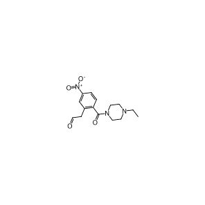 CCN1CCN(C(=O)c2ccc([N+](=O)[O-])cc2CC=O)CC1